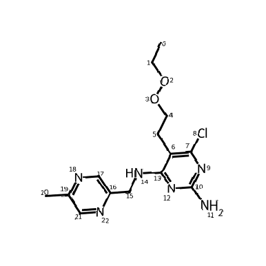 CCOOCCc1c(Cl)nc(N)nc1NCc1cnc(C)cn1